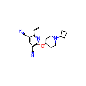 C=Cc1nc(OC2CCN(C3CCC3)CC2)c(C#N)cc1C#N